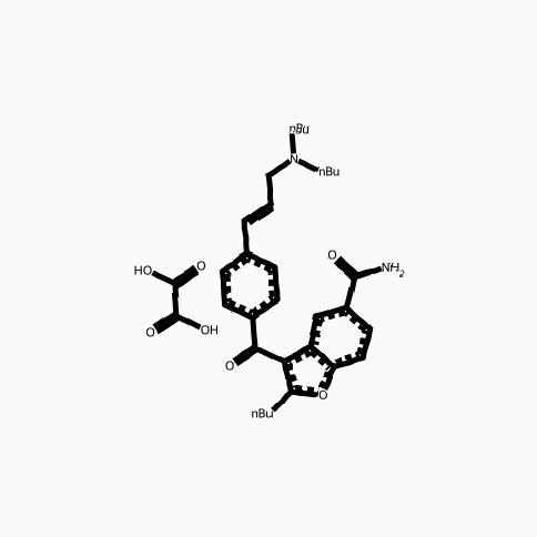 CCCCc1oc2ccc(C(N)=O)cc2c1C(=O)c1ccc(C=CCN(CCCC)CCCC)cc1.O=C(O)C(=O)O